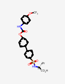 CC(C)[C@@H](NS(=O)(=O)c1ccc(-c2ccc(OC(=O)Nc3ccc(OC(F)(F)F)cc3)cc2)cc1)C(=O)O